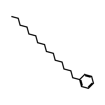 CCCCCCCCCCCCCCCc1[c]cccc1